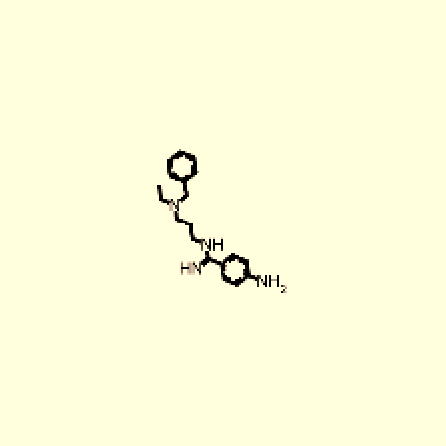 CCN(CCCNC(=N)c1ccc(N)cc1)Cc1ccccc1